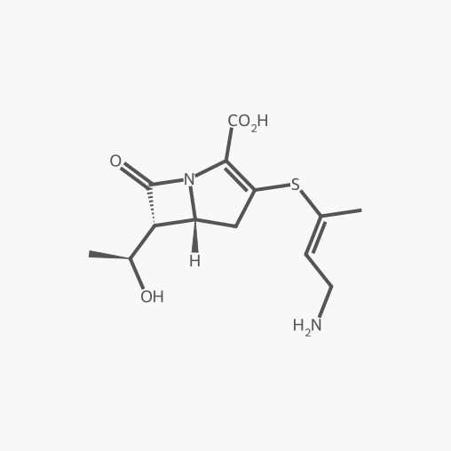 CC(=CCN)SC1=C(C(=O)O)N2C(=O)[C@@H]([C@H](C)O)[C@H]2C1